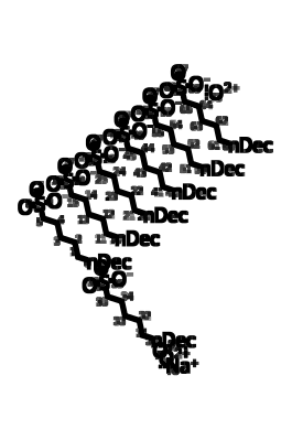 CCCCCCCCCCCCCCCS(=O)(=O)[O-].CCCCCCCCCCCCCCCS(=O)(=O)[O-].CCCCCCCCCCCCCCCS(=O)(=O)[O-].CCCCCCCCCCCCCCCS(=O)(=O)[O-].CCCCCCCCCCCCCCCS(=O)(=O)[O-].CCCCCCCCCCCCCCCS(=O)(=O)[O-].CCCCCCCCCCCCCCCS(=O)(=O)[O-].[Na+].[O+2].[O+2].[O+2]